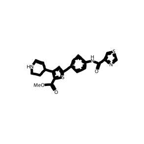 COC(=O)c1sc(-c2ccc(NC(=O)c3cscn3)cc2)cc1C1C=CNCC1